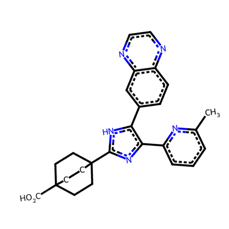 Cc1cccc(-c2nc(C34CCC(C(=O)O)(CC3)CC4)[nH]c2-c2ccc3nccnc3c2)n1